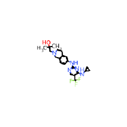 CC(C)(O)CN1CCc2cc(Nc3ncc(C(F)(F)F)c(NC4CC4)n3)ccc2C1